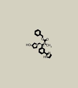 CN(C(=O)OCc1ccccc1)[C@H](CN1CC[C@H](O)C1)c1cccc(-c2ncc[nH]2)c1